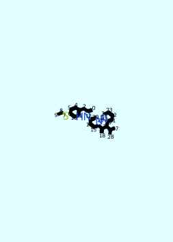 C=C(Cc1ccc(SCC)cc1)Nc1ccc(C(=C)C(c2ccccn2)C(C)C)nc1